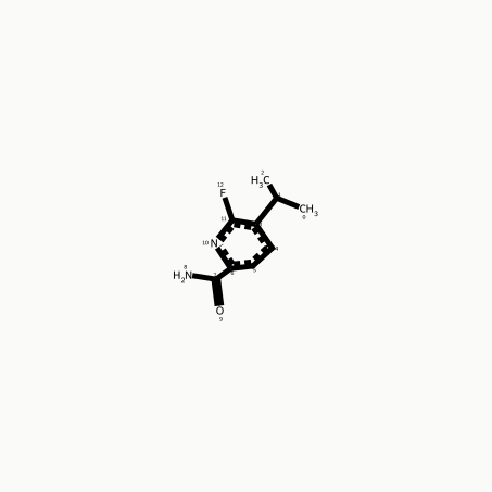 CC(C)c1ccc(C(N)=O)nc1F